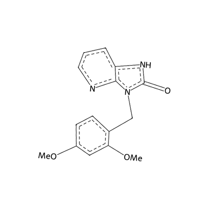 COc1ccc(Cn2c(=O)[nH]c3cccnc32)c(OC)c1